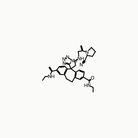 C=C(NCC)c1ccc2c(c1)CCc1cc(C(=O)NCC)ccc1C2(CCNCC(=C)N1CCCC1C#N)c1nnn[nH]1